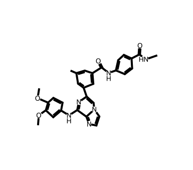 CNC(=O)c1ccc(NC(=O)c2cc(C)cc(-c3cn4ccnc4c(Nc4ccc(OC)c(OC)c4)n3)c2)cc1